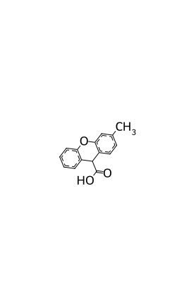 Cc1ccc2c(c1)Oc1ccccc1C2C(=O)O